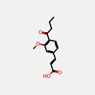 CCCC(=O)c1ccc(C=CC(=O)O)cc1OC